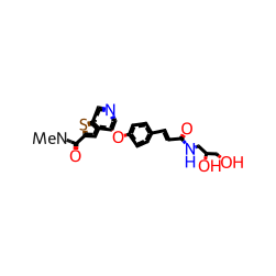 CNC(=O)c1cc2c(Oc3ccc(C=CC(=O)NCC(O)CO)cc3)cncc2s1